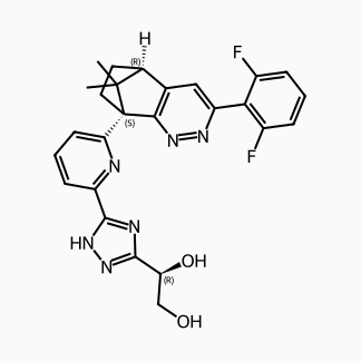 CC1(C)[C@H]2CC[C@]1(c1cccc(-c3nc([C@@H](O)CO)n[nH]3)n1)c1nnc(-c3c(F)cccc3F)cc12